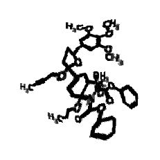 CC#CCOC1(C2=CCC(OCCC)(N(OC(=O)Oc3ccccc3)C(=O)Oc3ccccc3)C(S(C)(=O)=O)=C2)CCC(c2cc(OC)c(OC)c(OC)c2)O1